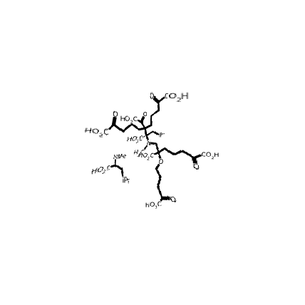 CC(C)C[C@@](C(=O)O)(N(C)CC(CCCC(=O)C(=O)O)(OCCCC(=O)C(=O)O)C(=O)O)C(CCCC(=O)C(=O)O)(CCCC(=O)C(=O)O)C(=O)C(=O)O.CN[C@@H](CC(C)C)C(=O)O